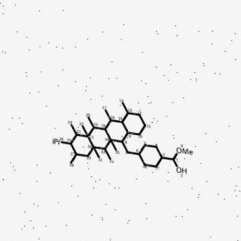 COC(O)C1CCC(CC2C3CCCC(C)C3C(C)C3C(C)C4(C)C(C)C(C(C)C)C(C)CC4(C)C(C)C23C)CC1